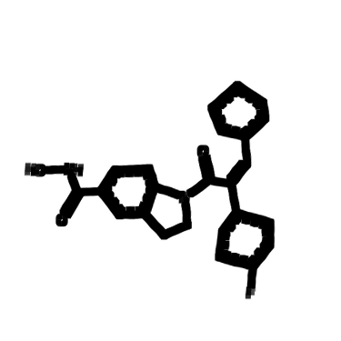 O=C(NO)c1ccc2c(c1)CCN2C(=O)/C(=C\c1ccccc1)c1ccc(F)cc1